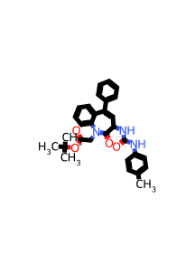 Cc1ccc(NC(=O)NC2C=C(c3ccccc3)c3ccccc3N(CC(=O)OC(C)(C)C)C2=O)cc1